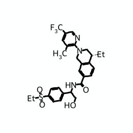 CC[C@H]1CN(c2ncc(C(F)(F)F)cc2C)Cc2cc(C(=O)NC(CO)c3ccc(S(=O)(=O)CC)cc3)ccc21